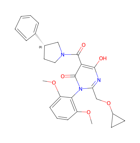 COc1cccc(OC)c1-n1c(COC2CC2)nc(O)c(C(=O)N2CC[C@H](c3ccccc3)C2)c1=O